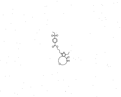 CCc1nn(CCCOC(=O)c2ccc(S(=O)(=O)CC)cc2)c2c1C(=O)NCCCOCCC2